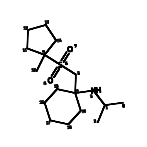 CC(C)NC1(CS(=O)(=O)C2(C)CCCC2)CCCCC1